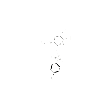 CC(=O)O[C@H]1C[C@@H](N=O)[C@@H](Cl)O[C@@H]1COS(=O)(=O)c1ccc(C)cc1